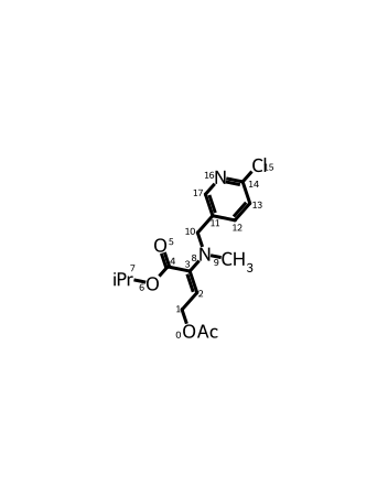 CC(=O)OC/C=C(\C(=O)OC(C)C)N(C)Cc1ccc(Cl)nc1